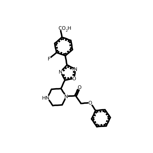 O=C(O)c1ccc(-c2noc(C3CNCCN3C(=O)COc3ccccc3)n2)c(F)c1